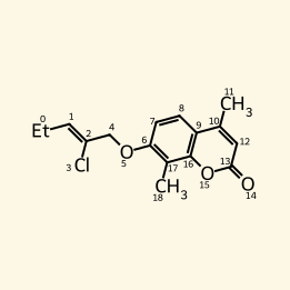 CCC=C(Cl)COc1ccc2c(C)cc(=O)oc2c1C